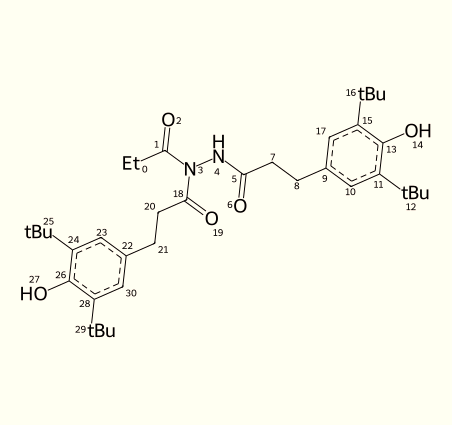 CCC(=O)N(NC(=O)CCc1cc(C(C)(C)C)c(O)c(C(C)(C)C)c1)C(=O)CCc1cc(C(C)(C)C)c(O)c(C(C)(C)C)c1